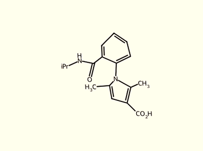 Cc1cc(C(=O)O)c(C)n1-c1ccccc1C(=O)NC(C)C